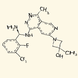 Cc1nnc(N[C@H](N)c2cccc(C(F)(F)F)c2F)c2cc(N3CC(C)(O)C3)ncc12